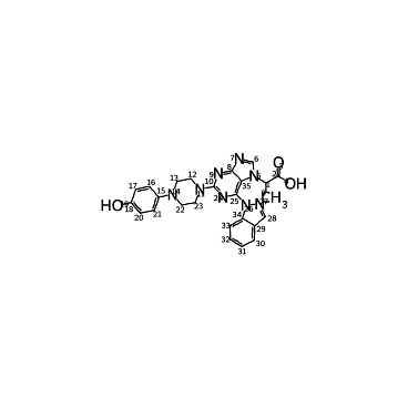 CC(C(=O)O)n1cnc2nc(N3CCN(c4ccc(O)cc4)CC3)nc(-n3ncc4ccccc43)c21